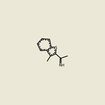 CC(=N)c1sc2ccccc2c1C